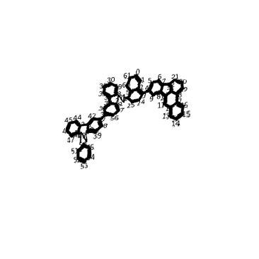 C1=CC2=C(c3ccc4c(c3)-c3cc5ccccc5c5cccc-4c35)C=CC(n3c4ccccc4c4cc(-c5ccc6c(c5)c5ccccc5n6-c5ccccc5)ccc43)C2CC1